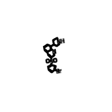 O=S(=O)(c1cccc(Br)c1)c1cnc2c(C3CCNCC3)cccc2c1